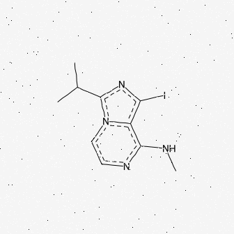 CNc1nccn2c(C(C)C)nc(I)c12